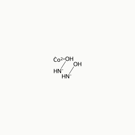 [Co+2].[NH-]O.[NH-]O